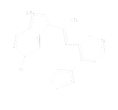 N#CC(=Cc1cnccc1-c1ccoc1)c1c[nH]c2ccc(Br)cc12